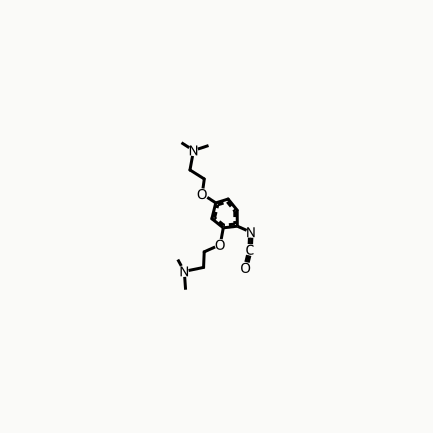 CN(C)CCOc1ccc(N=C=O)c(OCCN(C)C)c1